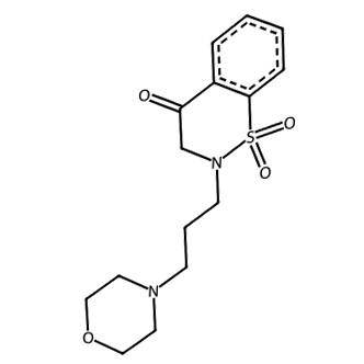 O=C1CN(CCCN2CCOCC2)S(=O)(=O)c2ccccc21